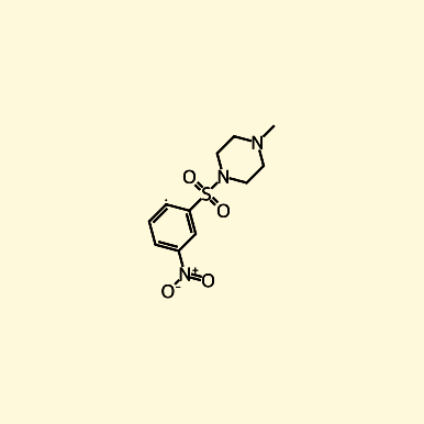 CN1CCN(S(=O)(=O)c2[c]ccc([N+](=O)[O-])c2)CC1